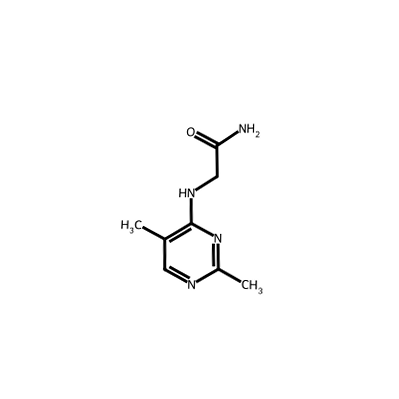 Cc1ncc(C)c(NCC(N)=O)n1